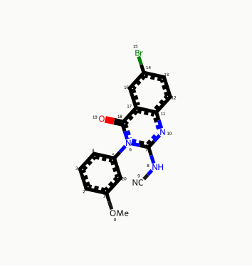 COc1cccc(-n2c(NC#N)nc3ccc(Br)cc3c2=O)c1